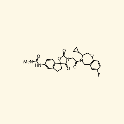 CNC(=O)Nc1ccc2c(c1)CC[C@]21OC(=O)N(CC(=O)N2Cc3cc(F)ccc3OC[C@@H]2C2CC2)C1=O